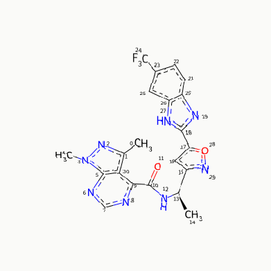 Cc1nn(C)c2ncnc(C(=O)N[C@H](C)c3cc(-c4nc5ccc(C(F)(F)F)cc5[nH]4)on3)c12